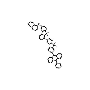 CC1(C)c2ccc(-c3cccc4c3C(C)(C)c3ccc5oc6c7ccccc7ccc6c5c3-4)cc2-c2ccc(-c3c4ccccc4c(-c4ccccc4)c4ccccc34)cc21